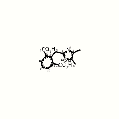 Cc1nc(Cc2c(C(=O)O)cccc2C(=O)O)sc1C